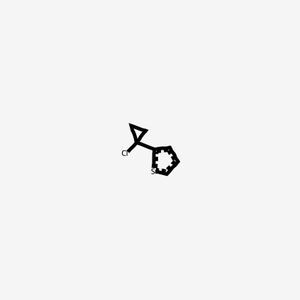 ClC1(c2cccs2)CC1